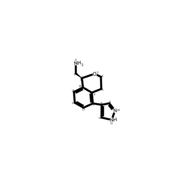 NC[C@H]1OCCc2c(-c3cn[nH]c3)cccc21